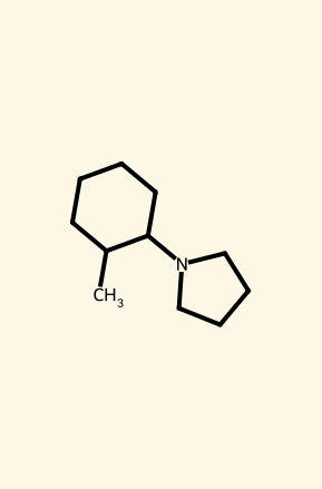 CC1CCCCC1N1CCCC1